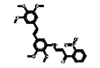 COc1cc(C=Cc2cc(OC)c(OC)c(OC)c2)cc(NC=CC(=O)c2ccccc2[N+](=O)[O-])c1OC